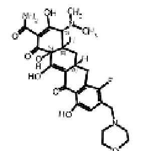 CN(C)[C@@H]1C(O)=C(C(N)=O)C(=O)[C@@]2(O)C(O)=C3C(=O)c4c(O)cc(CN5CCOCC5)c(F)c4C[C@H]3C[C@@H]12